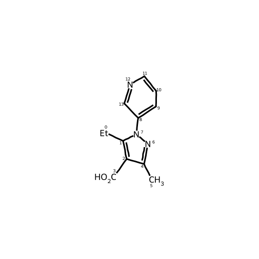 CCc1c(C(=O)O)c(C)nn1-c1cccnc1